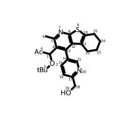 CC(=O)C(OC(C)(C)C)c1c(C)nc2sc3c(c2c1-c1ccc(CO)nc1)CCCC3